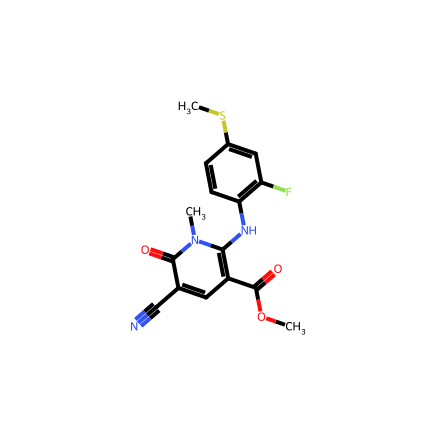 COC(=O)c1cc(C#N)c(=O)n(C)c1Nc1ccc(SC)cc1F